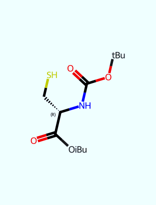 CC(C)COC(=O)[C@H](CS)NC(=O)OC(C)(C)C